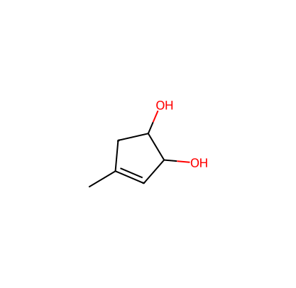 CC1=CC(O)C(O)C1